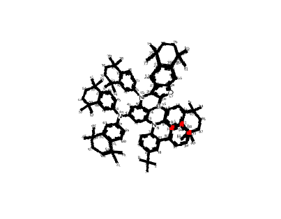 CC(C)(C)c1ccc(N2c3cc4c(cc3B3c5oc6cc7c(cc6c5N(c5ccc6c(c5)C(C)(C)CCC6(C)C)c5cc(N(c6ccc8c(c6)C(C)(C)CCC8(C)C)c6ccc8c(c6)C(C)(C)CCC8(C)C)cc2c53)C(C)(C)CCC7(C)C)C(C)(C)CCC4(C)C)c(-c2ccccc2)c1